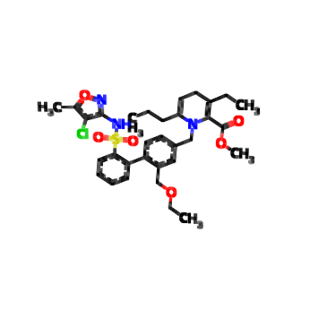 CCCC1=CCC(CC)=C(C(=O)OC)N1Cc1ccc(-c2ccccc2S(=O)(=O)Nc2noc(C)c2Cl)c(COCC)c1